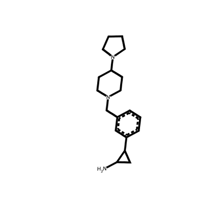 NC1CC1c1cccc(CN2CCC(N3CCCC3)CC2)c1